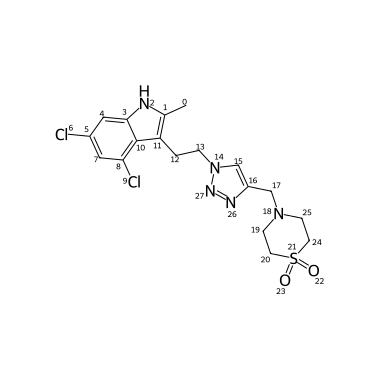 Cc1[nH]c2cc(Cl)cc(Cl)c2c1CCn1cc(CN2CCS(=O)(=O)CC2)nn1